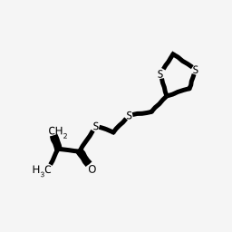 C=C(C)C(=O)SCSCC1CSCS1